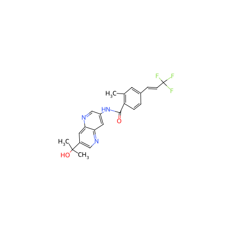 Cc1cc(C=CC(F)(F)F)ccc1C(=O)Nc1cnc2cc(C(C)(C)O)cnc2c1